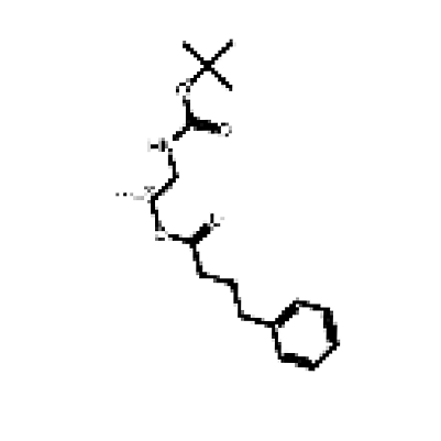 C[C@H](CNC(=O)OC(C)(C)C)OC(=O)CCCc1ccccc1